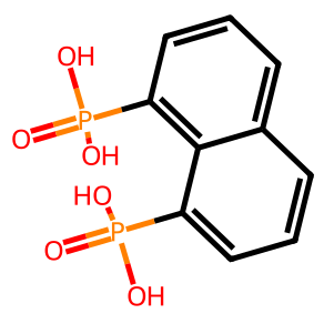 O=P(O)(O)c1cccc2cccc(P(=O)(O)O)c12